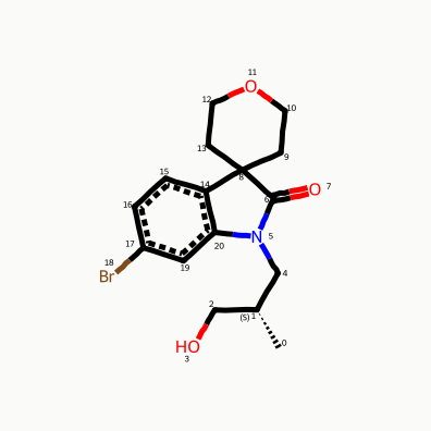 C[C@H](CO)CN1C(=O)C2(CCOCC2)c2ccc(Br)cc21